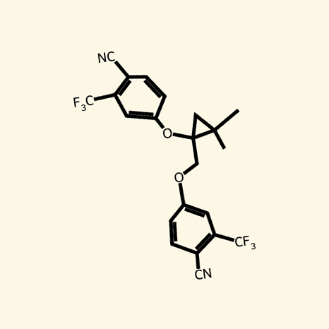 CC1(C)CC1(COc1ccc(C#N)c(C(F)(F)F)c1)Oc1ccc(C#N)c(C(F)(F)F)c1